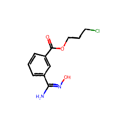 N/C(=N/O)c1cccc(C(=O)OCCCCl)c1